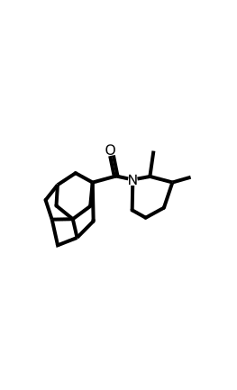 CC1CCCN(C(=O)C23CC4CC5CC(C2)C5(C4)C3)C1C